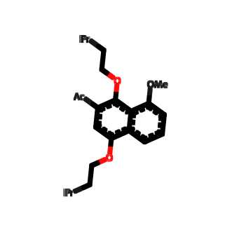 COc1cccc2c(OCCC(C)C)cc(C(C)=O)c(OCCC(C)C)c12